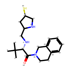 CC(C)(C)[C@H](NCC1C[C@@H](S)CN1)C(=O)N1CCc2ccccc2C1